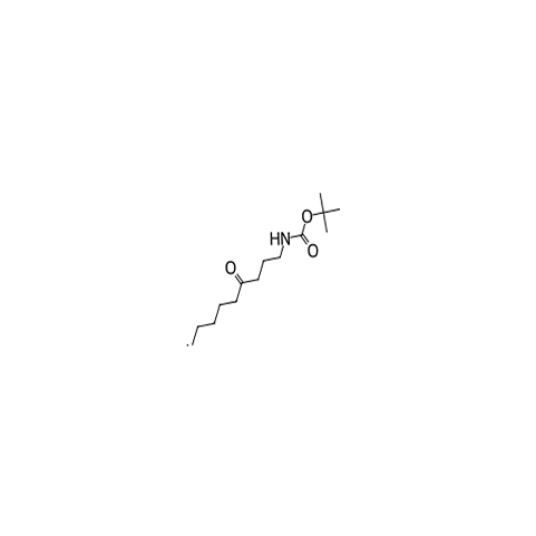 [CH2]CCCCC(=O)CCCNC(=O)OC(C)(C)C